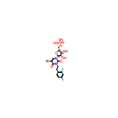 O=c1c(Br)cn([C@@H]2O[C@H](COP(=O)(O)O)[C@H](O)C2O)c(=O)n1CCc1ccc(F)cc1F